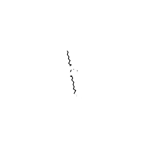 CCCCCCCC(=O)O[C@@H](COP=O)COC(=O)CCCCCCCCN